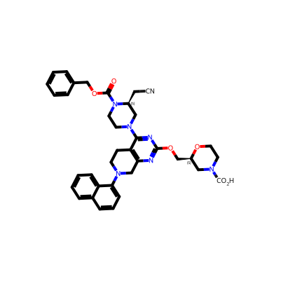 N#CC[C@H]1CN(c2nc(OC[C@@H]3CN(C(=O)O)CCO3)nc3c2CCN(c2cccc4ccccc24)C3)CCN1C(=O)OCc1ccccc1